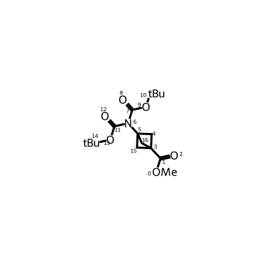 COC(=O)C12CC(N(C(=O)OC(C)(C)C)C(=O)OC(C)(C)C)(C1)C2